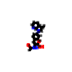 CC(=O)N/C(=C/c1ccc(-n2cc(C)c3cccnc32)cc1)C(=O)O